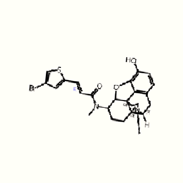 CN(C(=O)/C=C/c1cc(Br)cs1)C1CC[C@@]2(C)[C@H]3Cc4ccc(O)c5c4[C@@]2(CCN3C)C1O5